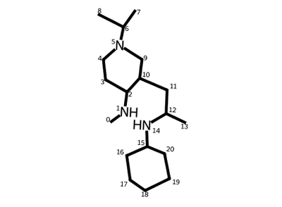 CNC1CCN(C(C)C)CC1CC(C)NC1CCCCC1